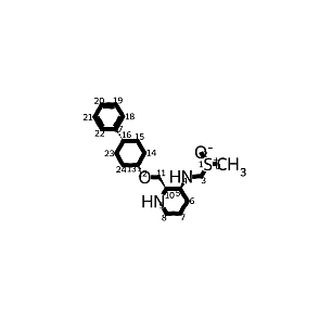 C[S+]([O-])CN[C@H]1CCCN[C@H]1CO[C@H]1CC[C@@H](c2ccccc2)CC1